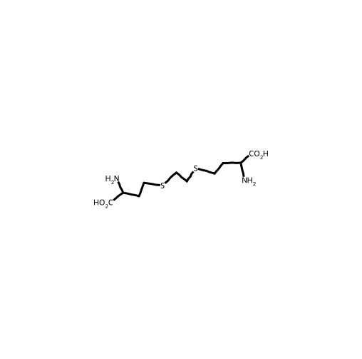 NC(CCSCCSCCC(N)C(=O)O)C(=O)O